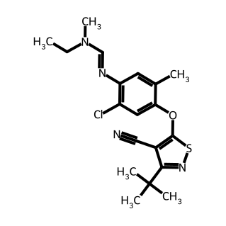 CCN(C)C=Nc1cc(C)c(Oc2snc(C(C)(C)C)c2C#N)cc1Cl